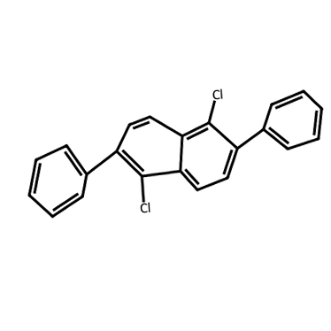 Clc1c(-c2ccccc2)ccc2c(Cl)c(-c3ccccc3)ccc12